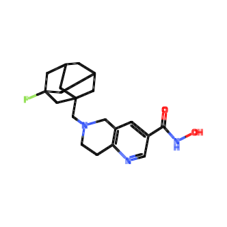 O=C(NO)c1cnc2c(c1)CN(CC13CC4CC(CC(F)(C4)C1)C3)CC2